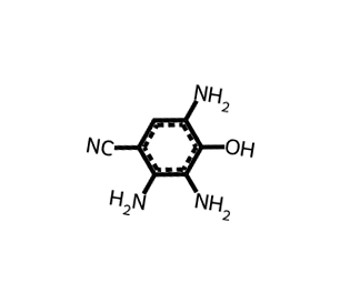 N#Cc1cc(N)c(O)c(N)c1N